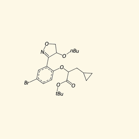 CCCCOC1CON=C1c1cc(Br)ccc1OC(CC1CC1)C(=O)OC(C)(C)C